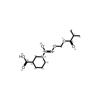 CC(C)C(=O)OCO/N=[N+](\[O-])N1CCCC(C(=O)O)C1